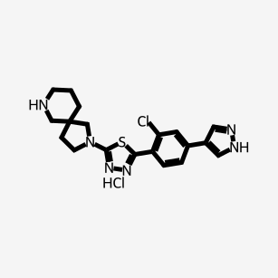 Cl.Clc1cc(-c2cn[nH]c2)ccc1-c1nnc(N2CCC3(CCCNC3)C2)s1